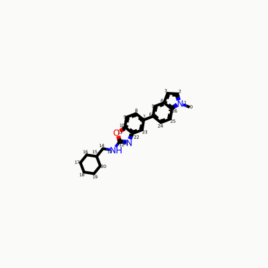 Cn1ccc2cc(-c3ccc4oc(NCC5CCCCC5)nc4c3)ccc21